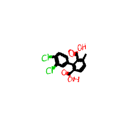 Cc1ccc(C(=O)O)c(-c2ccc(Cl)c(Cl)c2)c1C(=O)O